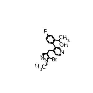 CCn1ncc(Cc2ccncc2-c2ccc(F)cc2C(C)O)c1Br